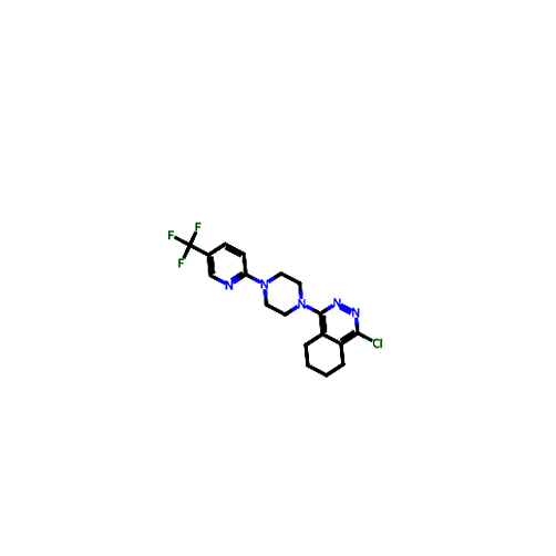 FC(F)(F)c1ccc(N2CCN(c3nnc(Cl)c4c3CCCC4)CC2)nc1